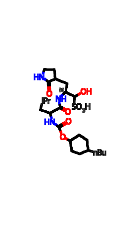 CCCCC1CCC(OC(=O)NC(CC(C)C)C(=O)N[C@@H](CC2CCNC2=O)C(O)S(=O)(=O)O)CC1